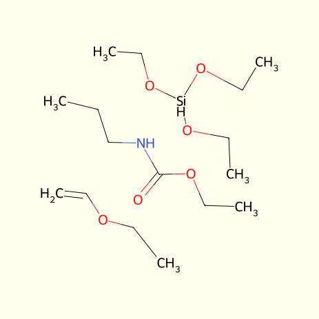 C=COCC.CCCNC(=O)OCC.CCO[SiH](OCC)OCC